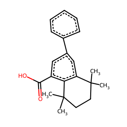 CC1(C)CCC(C)(C)c2c(C(=O)O)cc(-c3ccccc3)cc21